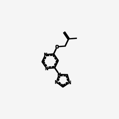 C=C(C)COc1cc(-n2cncn2)ncn1